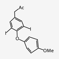 COc1ccc(Oc2c(I)cc(CC(C)=O)cc2I)cc1